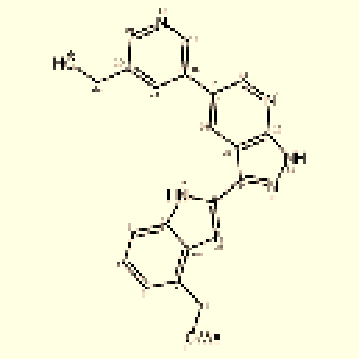 COCc1cccc2[nH]c(-c3n[nH]c4ncc(-c5cncc(CO)c5)cc34)nc12